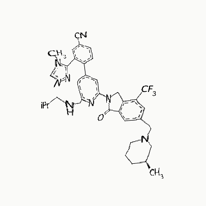 CC(C)CNc1cc(-c2ccc(C#N)cc2-c2nncn2C)cc(N2Cc3c(cc(CN4CCC[C@H](C)C4)cc3C(F)(F)F)C2=O)n1